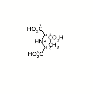 CC(=O)O.O=C(O)CNCC(=O)O